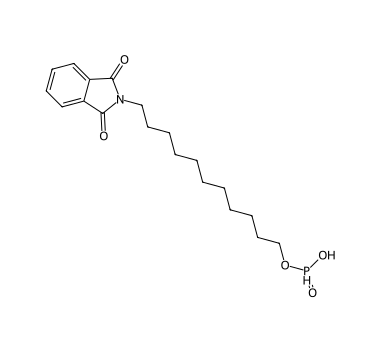 O=C1c2ccccc2C(=O)N1CCCCCCCCCCCO[PH](=O)O